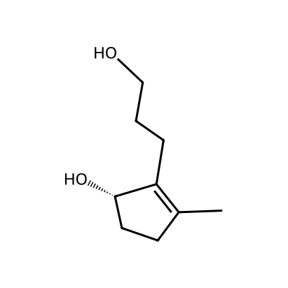 CC1=C(CCCO)[C@@H](O)CC1